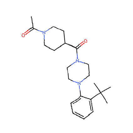 CC(=O)N1CCC(C(=O)N2CCN(c3ccccc3C(C)(C)C)CC2)CC1